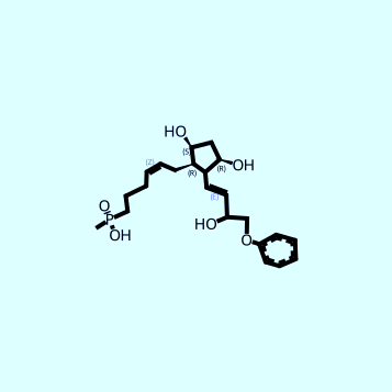 CP(=O)(O)CCC/C=C\C[C@@H]1C(/C=C/C(O)COc2ccccc2)[C@H](O)C[C@@H]1O